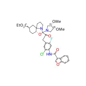 CCOC(=O)[C@H]1CC[C@H](OC(C(=O)Cc2cc(Cl)c(NC(=O)c3coc4ccccc34)cc2F)(N2CCCC2)N2C[C@H](OC)[C@H](OC)C2)CC1